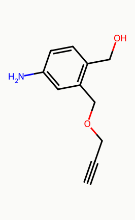 C#CCOCc1cc(N)ccc1CO